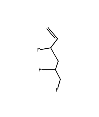 C=CC(F)CC(F)CF